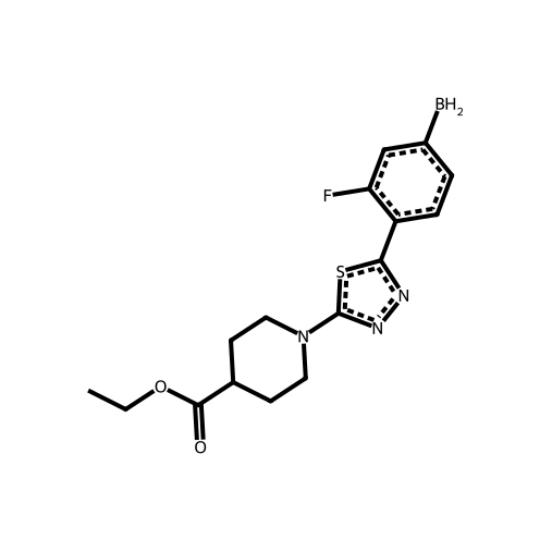 Bc1ccc(-c2nnc(N3CCC(C(=O)OCC)CC3)s2)c(F)c1